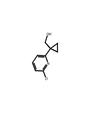 OCC1(c2cccc(Cl)n2)CC1